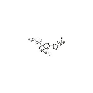 CCOC(=O)c1cnc(N)c2nc(-c3cccc(OC(F)(F)F)c3)ccc12